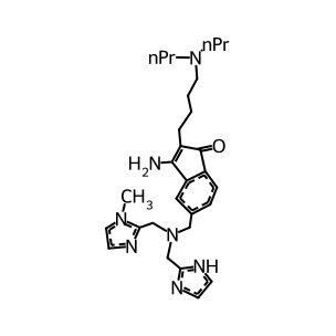 CCCN(CCC)CCCCC1=C(N)c2cc(CN(Cc3ncc[nH]3)Cc3nccn3C)ccc2C1=O